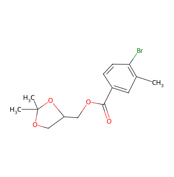 Cc1cc(C(=O)OCC2COC(C)(C)O2)ccc1Br